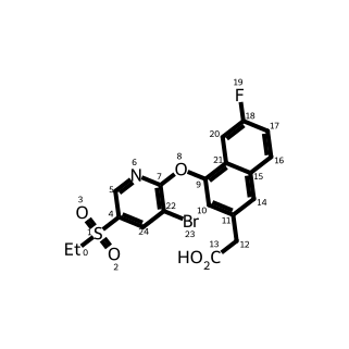 CCS(=O)(=O)c1cnc(Oc2cc(CC(=O)O)cc3ccc(F)cc23)c(Br)c1